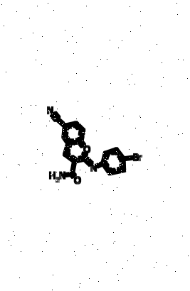 N#Cc1ccc2o/c(=N\c3ccc(Br)cc3)c(C(N)=O)cc2c1